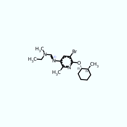 CCN(C)/C=N/c1cc(Br)c(O[C@H]2CCCC[C@@H]2C)nc1C